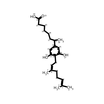 CC(C)=CCCC(C)=CCc1c(O)cc(C(C)CCCCCC(=O)O)cc1O